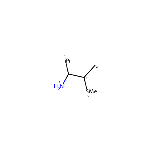 CSC(C)C(N)C(C)C